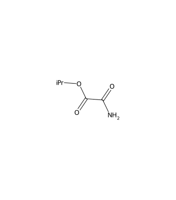 CC(C)OC(=O)C(N)=O